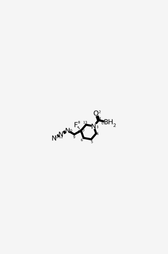 BC(=O)N1CCC[C@@](F)(CN=[N+]=[N-])C1